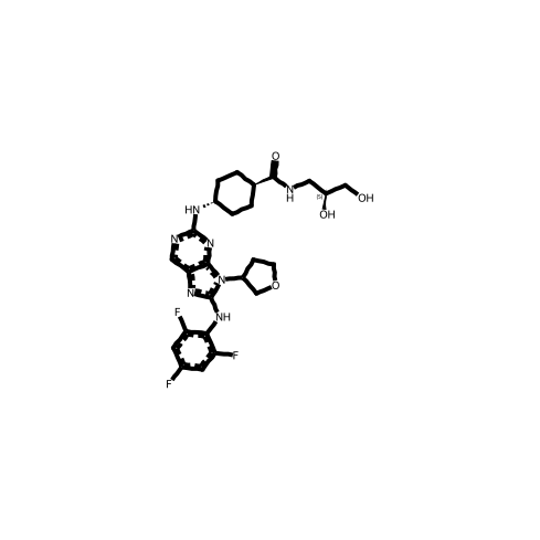 O=C(NC[C@H](O)CO)[C@H]1CC[C@H](Nc2ncc3nc(Nc4c(F)cc(F)cc4F)n(C4CCOC4)c3n2)CC1